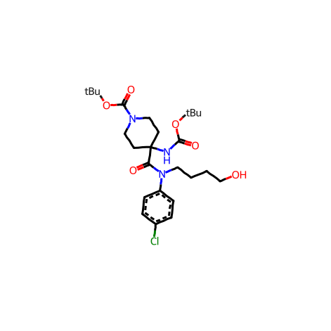 CC(C)(C)OC(=O)NC1(C(=O)N(CCCCO)c2ccc(Cl)cc2)CCN(C(=O)OC(C)(C)C)CC1